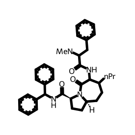 CCCC1CC[C@H]2CC[C@@H](C(=O)NC(c3ccccc3)c3ccccc3)N2C(=O)C1NC(=O)C(Cc1ccccc1)NC